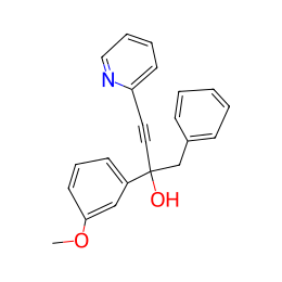 COc1cccc(C(O)(C#Cc2ccccn2)Cc2ccccc2)c1